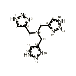 c1[nH]nnc1CN(Cc1c[nH]nn1)Cc1c[nH]nn1